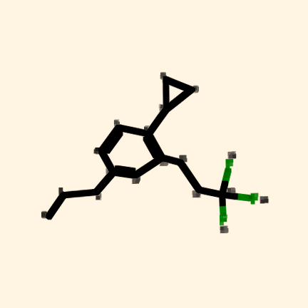 CCCc1ccc(C2CC2)c(CCC(F)(F)F)c1